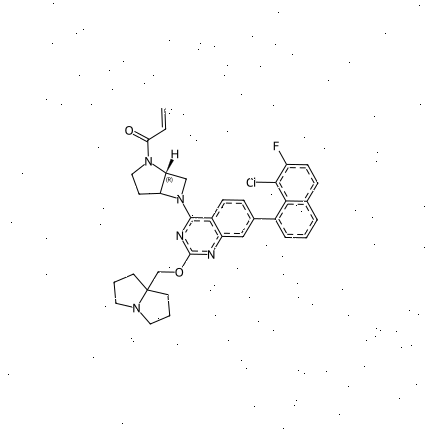 C=CC(=O)N1CCC2[C@H]1CN2c1nc(OCC23CCCN2CCC3)nc2cc(-c3cccc4ccc(F)c(Cl)c34)ccc12